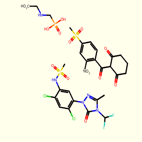 CS(=O)(=O)c1ccc(C(=O)C2C(=O)CCCC2=O)c([N+](=O)[O-])c1.Cc1nn(-c2cc(NS(C)(=O)=O)c(Cl)cc2Cl)c(=O)n1C(F)F.O=C(O)CNCP(=O)(O)O